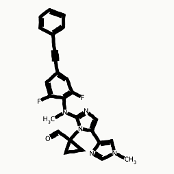 CN(c1c(F)cc(C#Cc2ccccc2)cc1F)c1ncc(-c2cn(C)cn2)n1C1(C=O)CC1